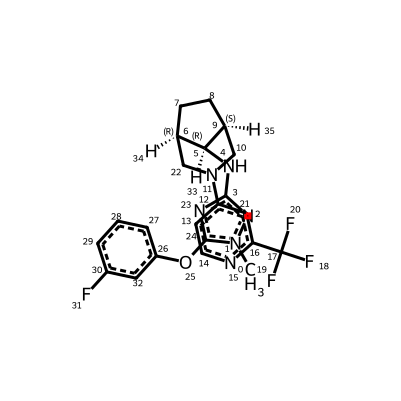 Cn1nc(N[C@H]2[C@@H]3CC[C@H]2CN(c2ccnc(C(F)(F)F)c2)C3)nc1Oc1cccc(F)c1